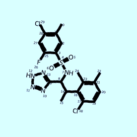 Cc1cc(S(=O)(=O)NC(c2nn[nH]n2)C(C)c2c(Cl)ccc(C)c2C)c(F)cc1Cl